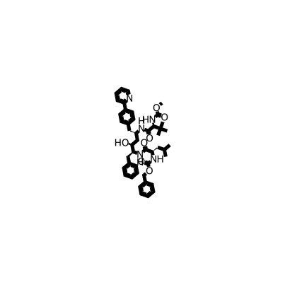 COC(=O)N[C@H](C(=O)N[C@@H](Cc1ccc(-c2ccccn2)cc1)C[C@H](O)[C@H](Cc1ccccc1)NC(=O)[C@H](CC(C)C)NC(=O)OCc1ccccc1)C(C)(C)C